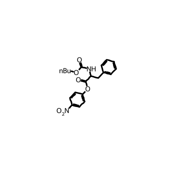 CCCCOC(=O)NC(Cc1ccccc1)C(=O)Oc1ccc([N+](=O)[O-])cc1